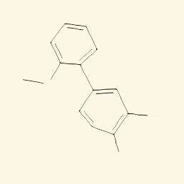 COc1cc[c]cc1-c1ccc(O)c(O)c1